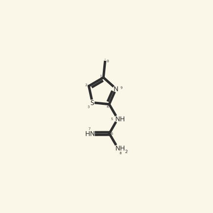 [CH2]c1csc(NC(=N)N)n1